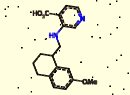 COc1ccc2c(c1)C(CNc1cnccc1C(=O)O)CCC2